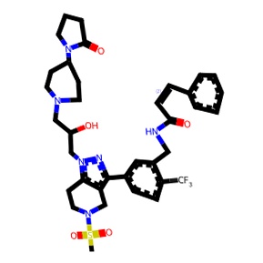 CS(=O)(=O)N1CCc2c(c(-c3ccc(C(F)(F)F)c(CNC(=O)/C=C\c4ccccc4)c3)nn2CC(O)CN2CCC(N3CCCC3=O)CC2)C1